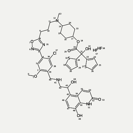 COc1cc(-c2noc(CCCN(C)C3CCC(OC(=O)C(O)(c4cccs4)c4cccs4)CC3)n2)c(Cl)cc1CNCC(O)c1ccc(O)c2[nH]c(=O)ccc12.F.F